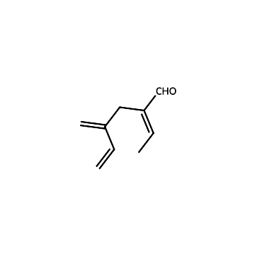 C=CC(=C)CC(C=O)=CC